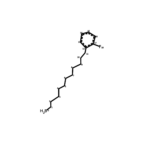 BCCCCCCCCCCCc1ccccc1F